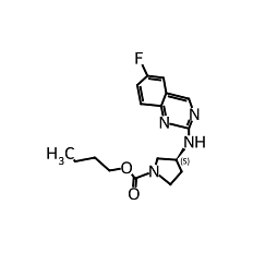 CCCCOC(=O)N1CC[C@H](Nc2ncc3cc(F)ccc3n2)C1